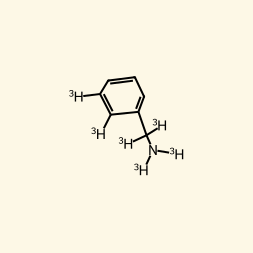 [3H]c1cccc(C([3H])([3H])N([3H])[3H])c1[3H]